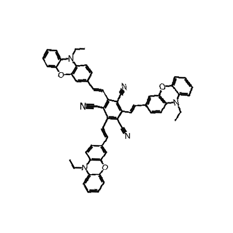 CCN1c2ccccc2Oc2cc(/C=C/c3c(C#N)c(/C=C/c4ccc5c(c4)Oc4ccccc4N5CC)c(C#N)c(/C=C/c4ccc5c(c4)Oc4ccccc4N5CC)c3C#N)ccc21